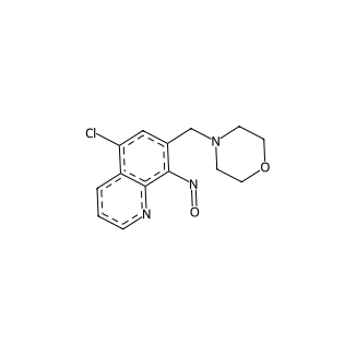 O=Nc1c(CN2CCOCC2)cc(Cl)c2cccnc12